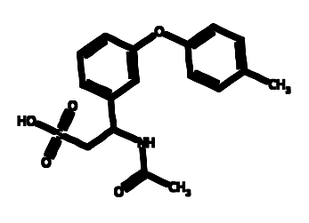 CC(=O)NC(CS(=O)(=O)O)c1cccc(Oc2ccc(C)cc2)c1